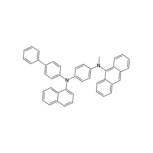 CN(c1ccc(N(c2ccc(-c3ccccc3)cc2)c2cccc3ccccc23)cc1)c1c2ccccc2cc2ccccc12